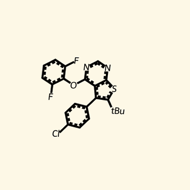 CC(C)(C)c1sc2ncnc(Oc3c(F)cccc3F)c2c1-c1ccc(Cl)cc1